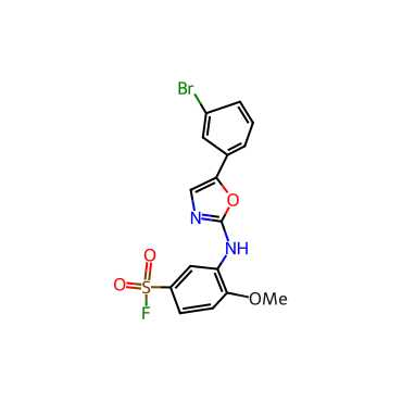 COc1ccc(S(=O)(=O)F)cc1Nc1ncc(-c2cccc(Br)c2)o1